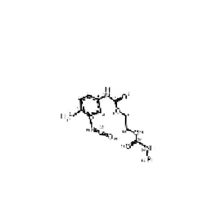 Cc1ccc(NC(=O)OCCOC(=O)NC(C)C)cc1N=C=O